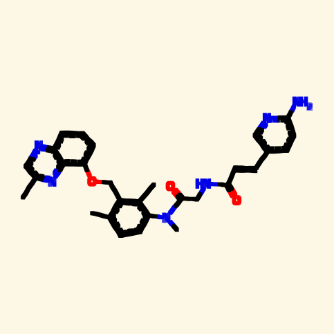 Cc1cnc2cccc(OCc3c(C)ccc(N(C)C(=O)CNC(=O)/C=C/c4ccc(N)nc4)c3C)c2n1